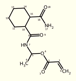 C=CC(=O)OC(C)NC(=O)C1CCCCC1C(N)=O